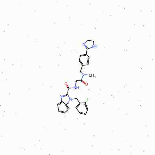 CN(Cc1ccc(C2=NCCN2)cc1)C(=O)CNC(=O)c1nc2ccccc2n1Cc1ccccc1F